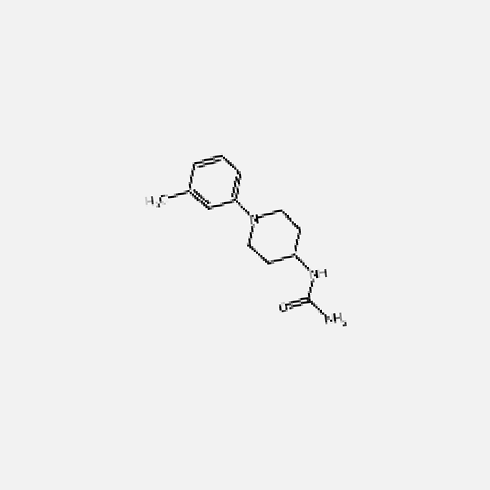 Cc1cccc(N2CCC(NC(N)=O)CC2)c1